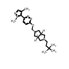 Cc1cnn(C)c1-c1ccc(OC[C@H]2C[C@@H]3CN(CCC(C)(C)C)C[C@@H]3C2)nn1